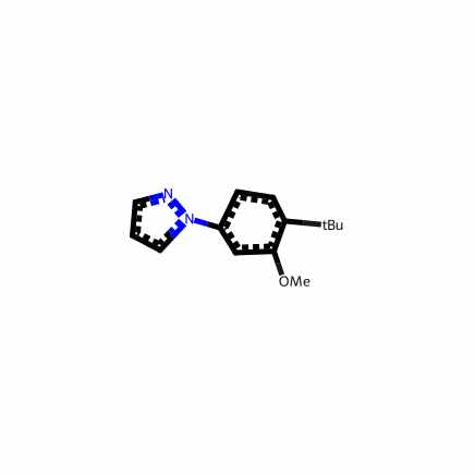 COc1cc(-n2cccn2)ccc1C(C)(C)C